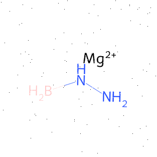 BNN.[Mg+2]